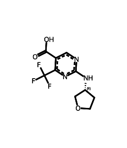 O=C(O)c1cnc(N[C@@H]2CCOC2)nc1C(F)(F)F